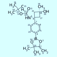 C=C1OB(c2ccc([C@]3(NC(=O)OC(C)(C)C)C[C@](C)(O)C3)cc2)OC1(C)C